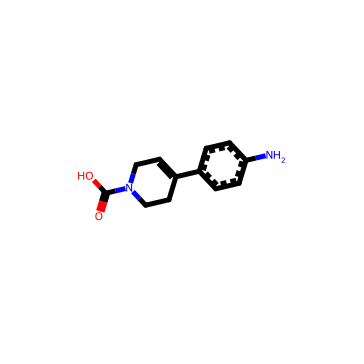 Nc1ccc(C2=CCN(C(=O)O)CC2)cc1